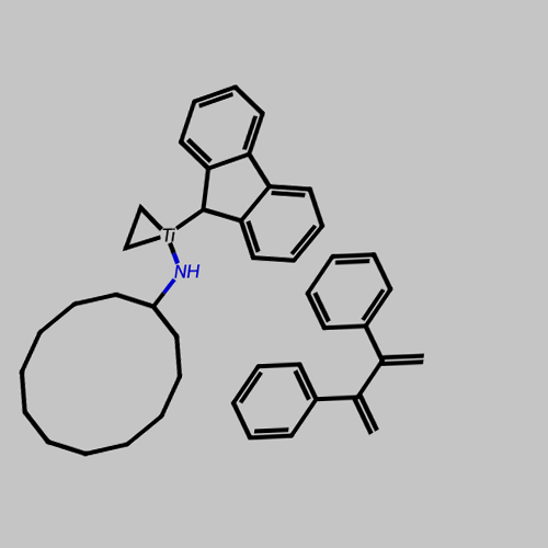 C=C(C(=C)c1ccccc1)c1ccccc1.c1ccc2c(c1)-c1ccccc1[CH]2[Ti]1([NH]C2CCCCCCCCCCC2)[CH2][CH2]1